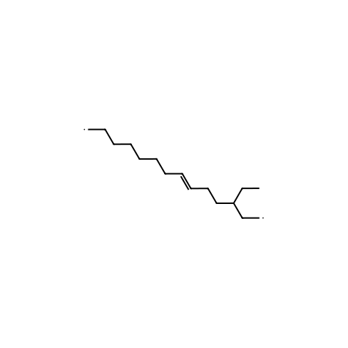 [CH2]CCCCCC/C=C/CCC(C[CH2])CC